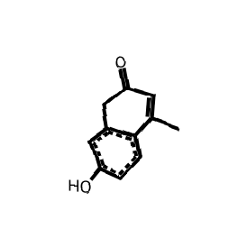 CC1=CC(=O)Cc2cc(O)ccc21